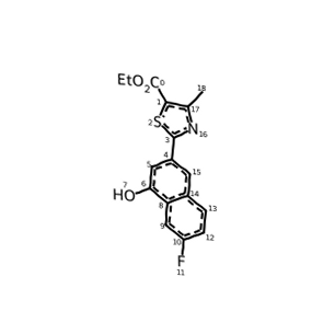 CCOC(=O)c1sc(-c2cc(O)c3cc(F)ccc3c2)nc1C